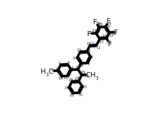 Cc1ccc(C(c2ccc(/C=C/c3c(F)c(F)c(F)c(F)c3F)cc2)C(C)c2ccccc2)cc1